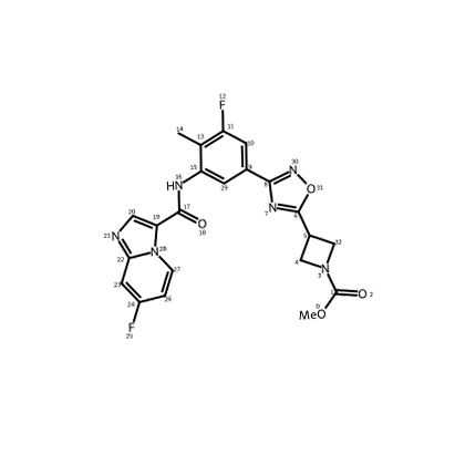 COC(=O)N1CC(c2nc(-c3cc(F)c(C)c(NC(=O)c4cnc5cc(F)ccn45)c3)no2)C1